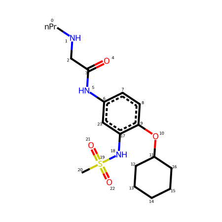 CCCNCC(=O)Nc1ccc(OC2CCCCC2)c(NS(C)(=O)=O)c1